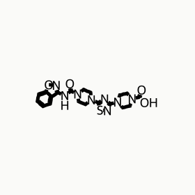 O=C(O)N1CCN(c2nsc(N3CCN(C(=O)Nc4noc5ccccc45)CC3)n2)CC1